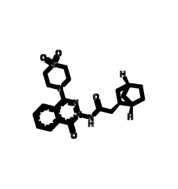 O=C(C[C@H]1C[C@@H]2CC[C@H]1C2)Nn1nc(N2CCS(=O)(=O)CC2)c2ccccc2c1=O